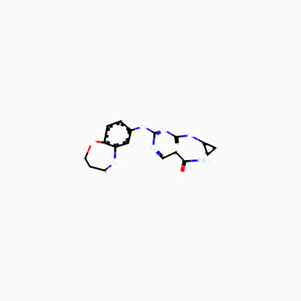 C=C(/N=C(\N=C/CC(N)=O)Nc1ccc2c(c1)NCCCO2)NC1CC1